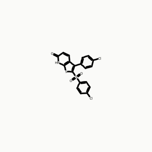 O=c1ccc2c(-c3ccc(Cl)cc3)c(S(=O)(=O)c3ccc(Cl)cc3)sc2[nH]1